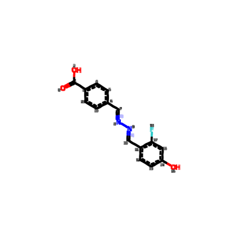 O=C(O)c1ccc(/C=N/N=C/c2ccc(O)cc2F)cc1